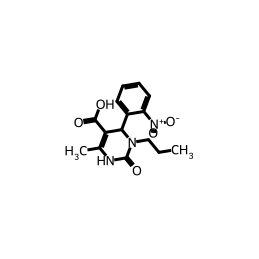 CCCN1C(=O)NC(C)=C(C(=O)O)C1c1ccccc1[N+](=O)[O-]